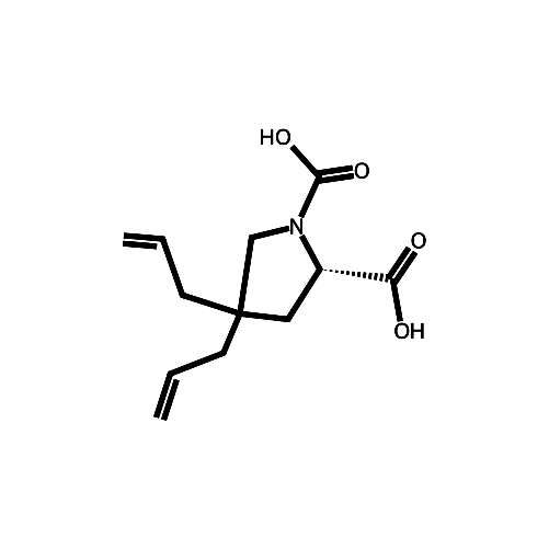 C=CCC1(CC=C)C[C@@H](C(=O)O)N(C(=O)O)C1